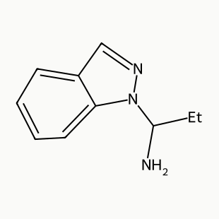 CCC(N)n1ncc2ccccc21